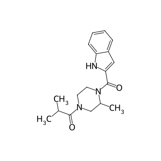 CC(C)C(=O)N1CCN(C(=O)c2cc3ccccc3[nH]2)C(C)C1